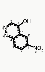 O=[N+]([O-])c1ccc2nncc(O)c2c1